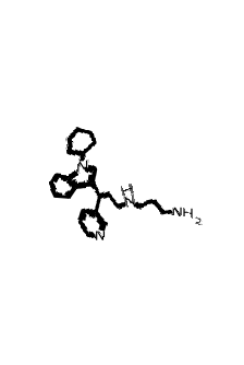 NCCCNCCC(c1cccnc1)c1cn(C2CCCCC2)c2ccccc12